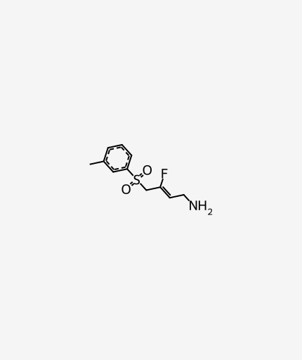 Cc1cccc(S(=O)(=O)C/C(F)=C/CN)c1